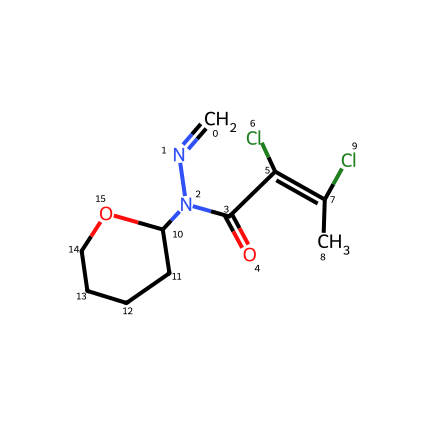 C=NN(C(=O)/C(Cl)=C(\C)Cl)C1CCCCO1